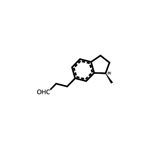 C[C@@H]1CCc2ccc(CCC=O)cc21